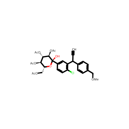 C#CC(c1ccc(COC)cc1)c1cc([C@]2(O)O[C@H](COC(C)=O)[C@@H](OC(C)=O)[C@H](OC(C)=O)[C@H]2OC(C)=O)ccc1Cl